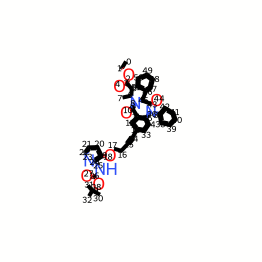 CCOC(=O)CC(C)N1C(=O)c2cc(C#CCCOc3cccnc3NC(=O)OC(C)(C)C)ccc2N(c2ccccc2)C(=O)C1c1ccccc1